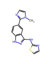 Cn1ccnc1-c1ccc2[nH]nc(Nc3nccs3)c2c1